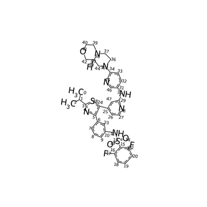 CC(C)c1nc(-c2cccc(NS(=O)(=O)c3c(F)cccc3F)c2)c(-c2ccnc(Nc3ccc(N4CCN5CCOC[C@H]5C4)nc3)c2)s1